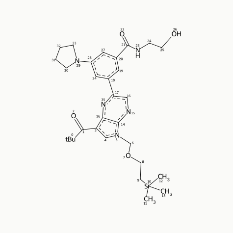 CC(C)(C)C(=O)c1cn(COCC[Si](C)(C)C)c2ncc(-c3cc(C(=O)NCCO)cc(N4CCCC4)c3)nc12